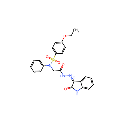 CCOc1ccc(S(=O)(=O)N(CC(=O)N/N=C2\C(=O)Nc3ccccc32)c2ccccc2)cc1